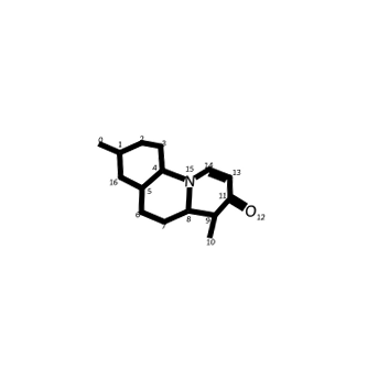 CC1CCC2C(CCC3C(C)C(=O)C=CN23)C1